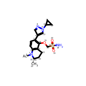 CC(=O)N1c2ccc(-c3cnn(C4CC4)c3)c(OCS(N)(=O)=O)c2CC[C@@H]1C